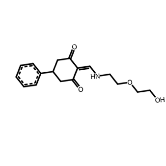 O=C1CC(c2ccccc2)CC(=O)C1=CNCCOCCO